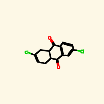 O=C1c2cc(Cl)ccc2C(=O)C2CC(Cl)=CCC12